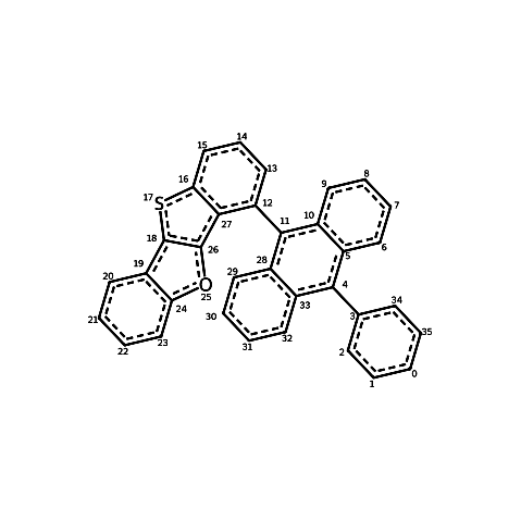 c1ccc(-c2c3ccccc3c(-c3cccc4sc5c6ccccc6oc5c34)c3ccccc23)cc1